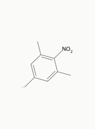 [CH2]c1cc(C)c([N+](=O)[O-])c(C)c1